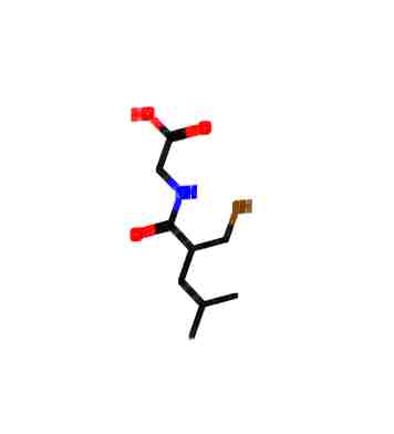 CC(C)CC(CS)C(=O)NCC(=O)O